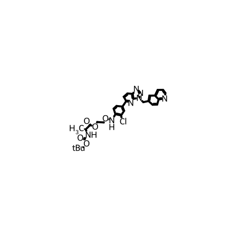 C[C@H](NC(=O)OC(C)(C)C)C(=O)OCCONc1ccc(-c2ccc3nnn(Cc4ccc5ncccc5c4)c3n2)cc1Cl